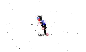 COC(=O)C#Cc1cc2cnc(C(=O)NC3CN4CCC3C4)cc2o1